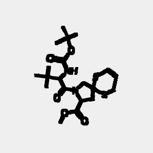 COC(=O)C1CC2(CN1C(=O)C(NC(=O)OC(C)(C)C)C(C)(C)C)SCCCS2